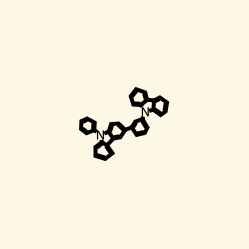 c1ccc(-n2c3ccccc3c3cc(-c4cccc(-n5c6ccccc6c6ccccc65)c4)ccc32)cc1